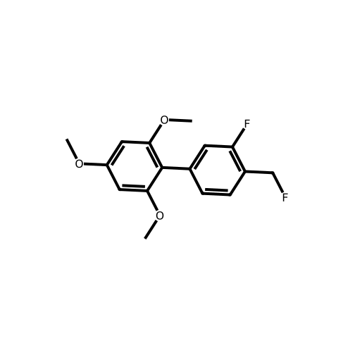 COc1cc(OC)c(-c2ccc(CF)c(F)c2)c(OC)c1